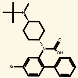 CN([C@H]1CC[C@H](N(C(=O)O)c2cc(Br)ccc2-c2ccccc2)CC1)C(C)(C)C